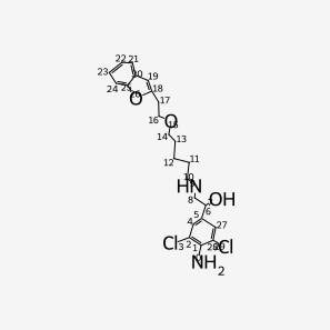 Nc1c(Cl)cc(C(O)CNCCCCCOCCc2cc3ccccc3o2)cc1Cl